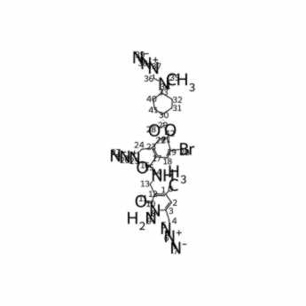 Cc1cc(CN=[N+]=[N-])n(N)c(=O)c1CNC(=O)c1cc(Br)c2c(c1CN=[N+]=[N-])OC([C@H]1CC[C@H](N(C)CN=[N+]=[N-])CC1)O2